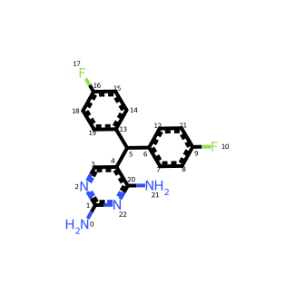 Nc1ncc(C(c2ccc(F)cc2)c2ccc(F)cc2)c(N)n1